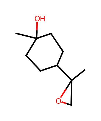 CC1(O)CCC(C2(C)CO2)CC1